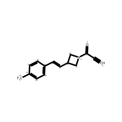 C#CC(=O)N1CC(C=Cc2ccc(C(F)(F)F)cc2)C1